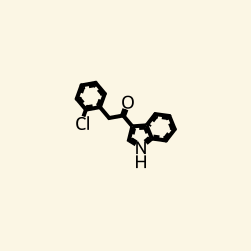 O=C(Cc1ccccc1Cl)c1c[nH]c2ccccc12